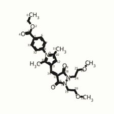 CCOC(=O)c1ccc(-n2c(C)cc(C=C3C(=O)N(CCOC)N(CCOC)C3=O)c2C)cc1